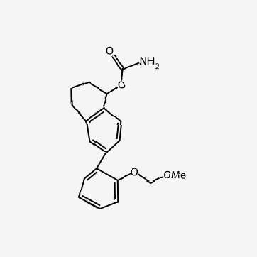 COCOc1ccccc1-c1ccc2c(c1)CCCC2OC(N)=O